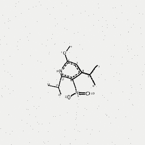 COc1cc(C(C)C)c([N+](=O)[O-])c(C(C)C)n1